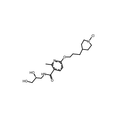 Cc1nc(OCCCC2CCN(Cl)CC2)ccc1C(=O)NC[C@H](O)CO